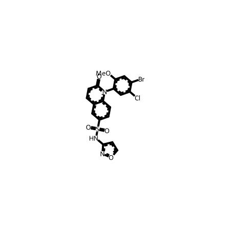 COc1cc(Br)c(Cl)cc1-n1c(=O)ccc2cc(S(=O)(=O)Nc3ccon3)ccc21